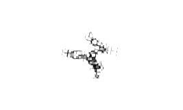 COc1ccc(-c2n[nH]cc2-c2ccc3ncc(-c4noc(C5CC5)n4)n3c2)cc1.Cl.Cl.Cl